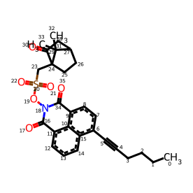 CCCCC#Cc1ccc2c3c(cccc13)C(=O)N(OS(=O)(=O)CC13CCC(CC1=O)C3(C)C)C2=O